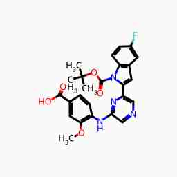 COc1cc(C(=O)O)ccc1Nc1cncc(-c2cc3cc(F)ccc3n2C(=O)OC(C)(C)C)n1